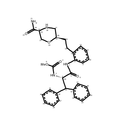 COC(=O)N[C@H](C(=O)Nc1ccccc1CC[C@@H]1CN[C@H](C(N)=O)CO1)C(c1ccccc1)c1ccccc1